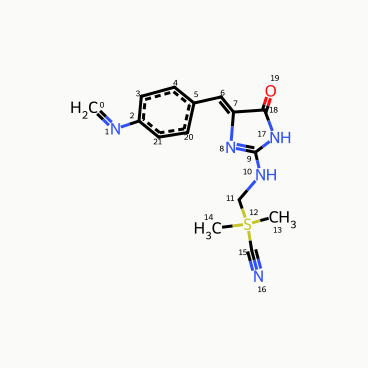 C=Nc1ccc(/C=C2\N=C(NCS(C)(C)C#N)NC2=O)cc1